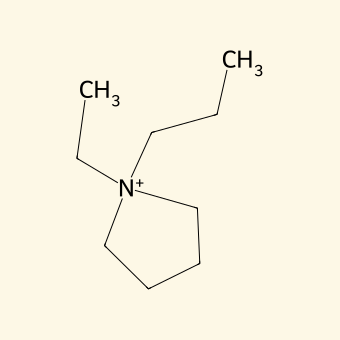 CCC[N+]1(CC)CCCC1